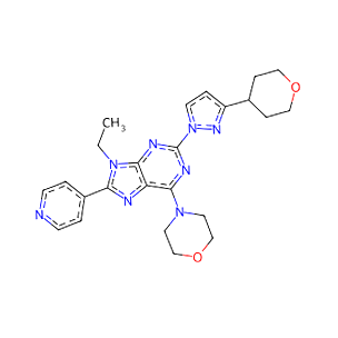 CCn1c(-c2ccncc2)nc2c(N3CCOCC3)nc(-n3ccc(C4CCOCC4)n3)nc21